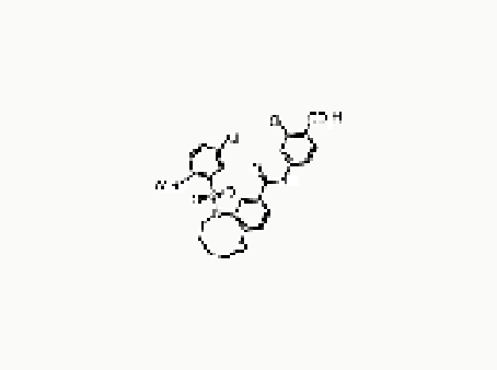 COc1ccc(Cl)cc1S(=O)(=O)N1CCCCOc2ccc(C(=O)Nc3ccc(C(=O)O)c(Cl)c3)cc21